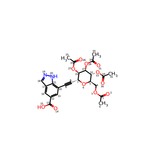 CC(=O)OC[C@H]1O[C@H](C#Cc2cc(C(=O)O)cc3cn[nH]c23)[C@@H](OC(C)=O)[C@@H](OC(C)=O)[C@@H]1OC(C)=O